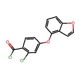 O=C(Cl)c1ccc(Oc2cccc3occc23)cc1Cl